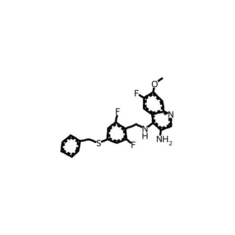 COc1cc2ncc(N)c(NCc3c(F)cc(SCc4ccccc4)cc3F)c2cc1F